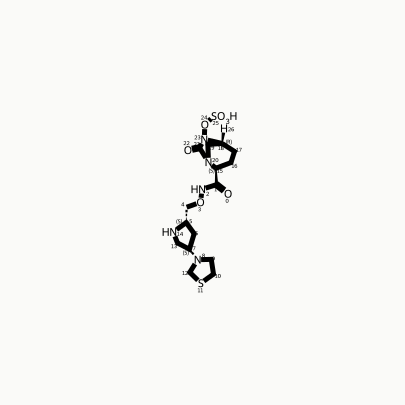 O=C(NOC[C@@H]1C[C@H](N2CCSC2)CN1)[C@@H]1CC[C@@H]2CN1C(=O)N2OS(=O)(=O)O